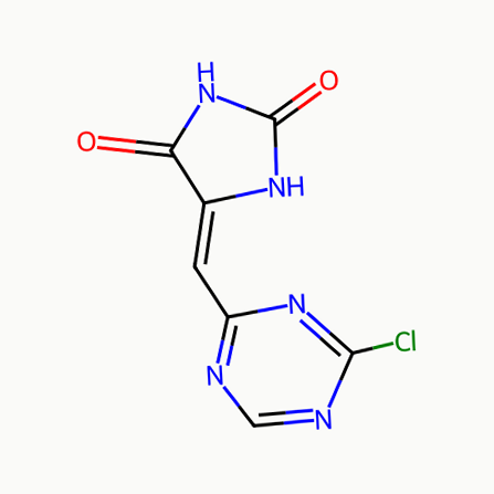 O=C1NC(=O)C(=Cc2ncnc(Cl)n2)N1